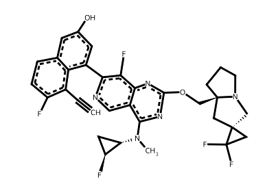 C#Cc1c(F)ccc2cc(O)cc(-c3ncc4c(N(C)[C@H]5C[C@@H]5F)nc(OC[C@@]56CCCN5C[C@@]5(CC5(F)F)C6)nc4c3F)c12